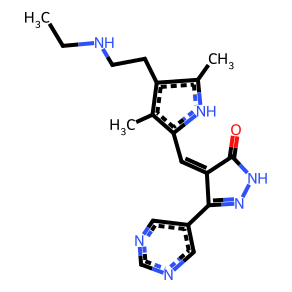 CCNCCc1c(C)[nH]c(C=C2C(=O)NN=C2c2cncnc2)c1C